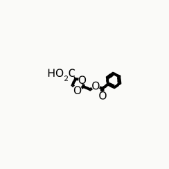 O=C(OCC1OC[C@H](C(=O)O)O1)c1ccccc1